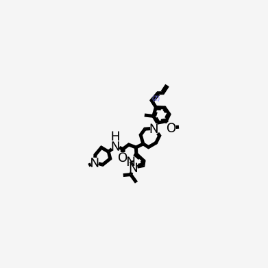 C=C/C=C\c1ccc(OC)c(N2CCCC(C(CC(=O)NC3CCN(C)CC3)c3ccn(C(C)C)n3)CC2)c1C